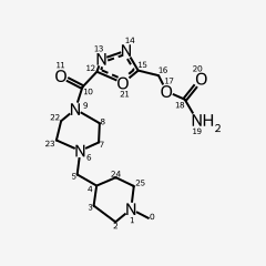 CN1CCC(CN2CCN(C(=O)c3nnc(COC(N)=O)o3)CC2)CC1